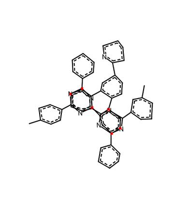 Cc1ccc(-c2nc(-c3ccccc3)nc(-c3ccccc3-c3ccc(-c4ccccn4)cc3-c3ccccc3-c3nc(-c4ccccc4)nc(-c4cccc(C)c4)n3)n2)cc1